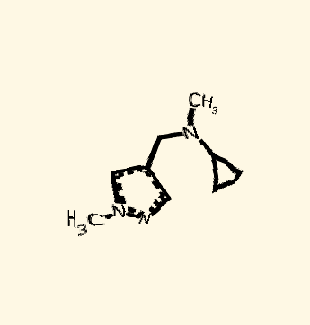 CN(Cc1cnn(C)c1)C1CC1